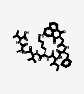 CCC(C)[C@H](NC(=O)[C@H](Cc1ccccc1)NC(=O)CN1C(=O)c2cccc3cccc(c23)C1=O)C(=O)N[C@@H](CCCCN)C(=O)N[C@H](C(=O)N[C@@H](C)C(=O)N[C@H](C(=O)O)C(C)C)C(C)C